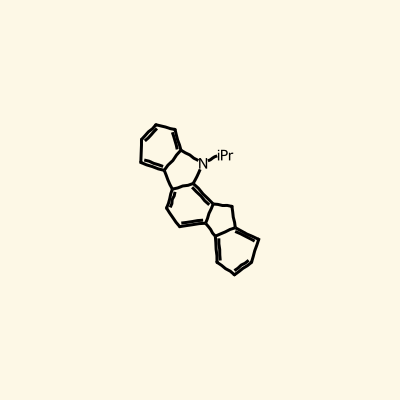 CC(C)n1c2ccccc2c2ccc3c(c21)Cc1ccccc1-3